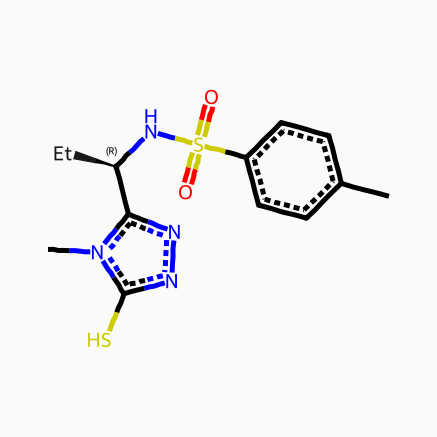 CC[C@@H](NS(=O)(=O)c1ccc(C)cc1)c1nnc(S)n1C